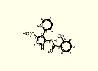 O=C(Nc1[nH]nc(C(=O)O)c1-c1ccccn1)c1ccccc1Cl